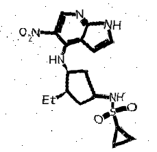 CC[C@@H]1CC(NS(=O)(=O)C2CC2)C[C@@H]1Nc1c([N+](=O)[O-])cnc2[nH]ccc12